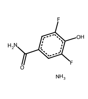 N.NC(=O)c1cc(F)c(O)c(F)c1